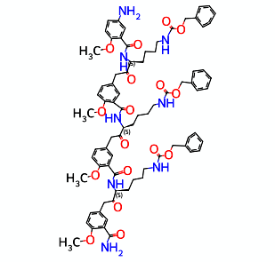 COc1ccc(CC(=O)[C@H](CCCCNC(=O)OCc2ccccc2)NC(=O)c2cc(CC(=O)[C@H](CCCCNC(=O)OCc3ccccc3)NC(=O)c3cc(CC(=O)[C@H](CCCCNC(=O)OCc4ccccc4)NC(=O)c4cc(N)ccc4OC)ccc3OC)ccc2OC)cc1C(N)=O